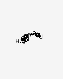 CC[C@@H](Oc1cccc(CNCCOc2ccc(Cl)cc2)c1)C(=O)O